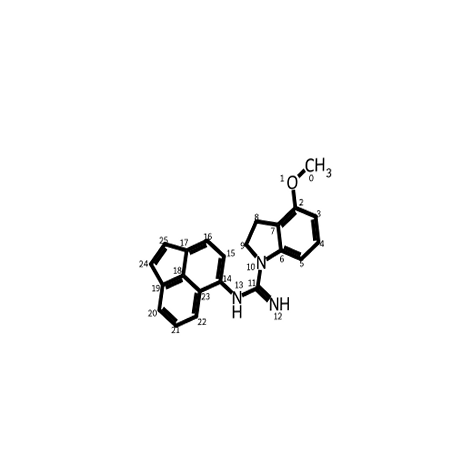 COc1cccc2c1CCN2C(=N)Nc1ccc2c3c(cccc13)C=C2